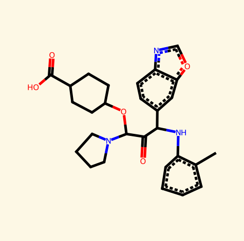 Cc1ccccc1NC(C(=O)C(OC1CCC(C(=O)O)CC1)N1CCCC1)c1ccc2ncoc2c1